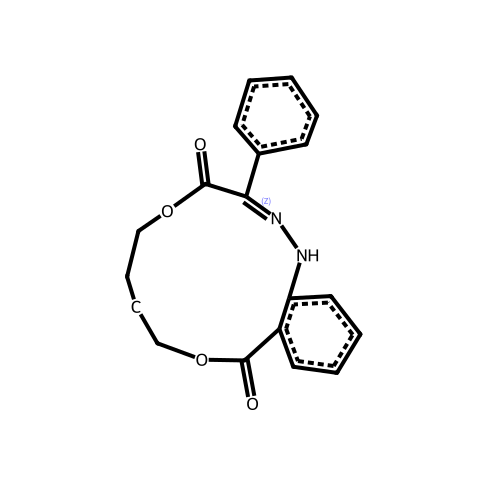 O=C1OCCCCOC(=O)c2ccccc2N/N=C\1c1ccccc1